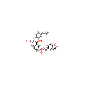 O=C(O)c1ccc(Cc2c(O)cc3ccc(C(=O)OCc4ccc5occc5c4)cc3c2O)cc1